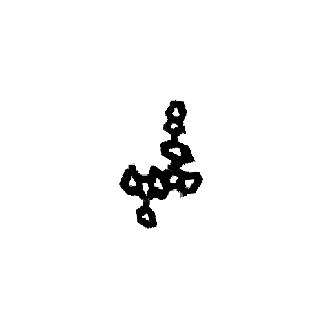 c1ccc(-n2c3cc4c5ncccc5n(-c5ccc(-c6nc7ccncc7o6)cc5)c4cc3c3ncccc32)cc1